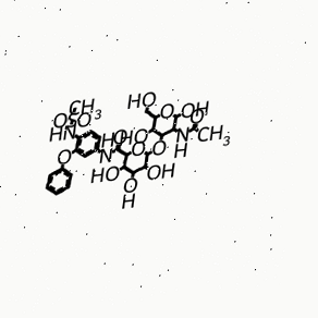 CC(=O)NC1C(O)OC(CO)C(O)C1OC1OC(C(=O)Nc2ccc(NS(C)(=O)=O)c(Oc3ccccc3)c2)C(O)C(O)C1O